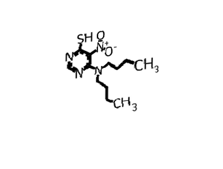 CCCCN(CCCC)c1ncnc(S)c1[N+](=O)[O-]